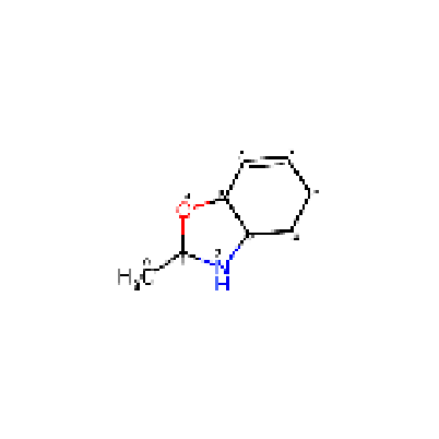 CC1NC2CCC=CC2O1